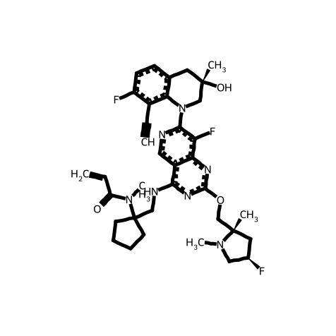 C#Cc1c(F)ccc2c1N(c1ncc3c(NCC4(N(C)C(=O)C=C)CCCC4)nc(OC[C@]4(C)C[C@@H](F)CN4C)nc3c1F)C[C@@](C)(O)C2